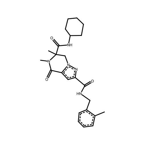 Cc1ccccc1CNC(=O)c1cc2n(n1)CC(C)(C(=O)NC1CCCCC1)N(C)C2=O